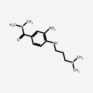 CN(C)CCCNc1ccc(C(=O)N(C)C)cc1[N+](=O)[O-]